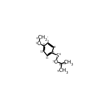 [CH2]Oc1ccc(SOC(C)C)cc1